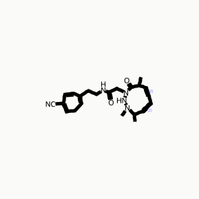 CC1/C=C\C=C/C(C)N(C)NN(CC(=O)NCCC2=CCC=C(C#N)C=C2)C1=O